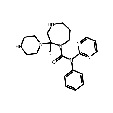 CC1(N2CCNCC2)CNCCCN1C(=O)N(c1ccccc1)c1ncccn1